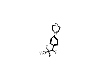 OC(F)(F)C(F)c1ccc(N2CCOCC2)cc1